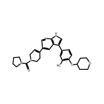 N#Cc1cc(-c2c[nH]c3ncc(C4=CCN(C(=O)N5CCCC5)CC4)cc23)ccc1OC1CCOCC1